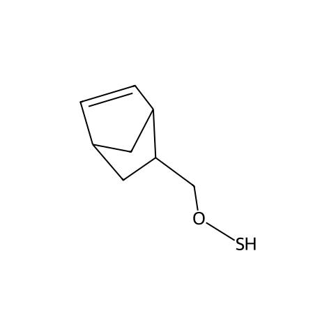 SOCC1CC2C=CC1C2